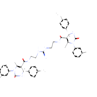 CC1=C(C(=O)NCCNC(=N)NCCNC(=O)C2=C(C)N(c3cccc(C(F)(F)F)c3)C(=O)N[C@@H]2c2ccc(C#N)cc2)[C@@H](c2ccc(C#N)cc2)NC(=O)N1c1cccc(C(F)(F)F)c1